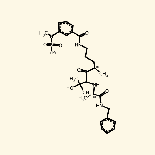 CCCS(=O)(=O)N(C)c1cccc(C(=O)NCCC[C@@H](C)C(=O)C(N[C@@H](C)C(=O)NCc2ccccc2)C(C)(C)O)c1